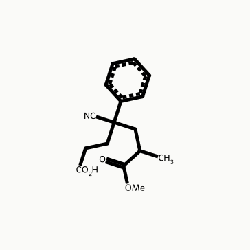 COC(=O)C(C)CC(C#N)(CCC(=O)O)c1ccccc1